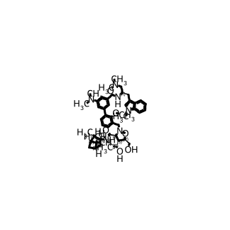 COc1c(CN2O[C@@H](CO)[C@H]([C@H](C)O)[C@H]2C(=O)N[C@H]2C[C@H]3C[C@@H]([C@@H]2C)C3(C)C)cccc1-c1cc(C(=O)N[C@H](Cc2cn(C)c3ccccc23)CN(C)C)cc(N(C)C)c1